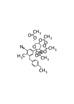 CCc1ccc(Cc2cc([C@]3(O)O[C@H](COC(C)=O)[C@@H](OC(C)=O)[C@H](OC(C)=O)[C@H]3OC(C)=O)cc(C#N)c2C)cc1